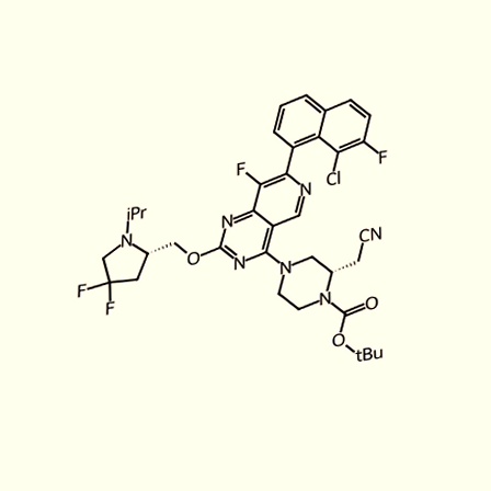 CC(C)N1CC(F)(F)C[C@H]1COc1nc(N2CCN(C(=O)OC(C)(C)C)[C@@H](CC#N)C2)c2cnc(-c3cccc4ccc(F)c(Cl)c34)c(F)c2n1